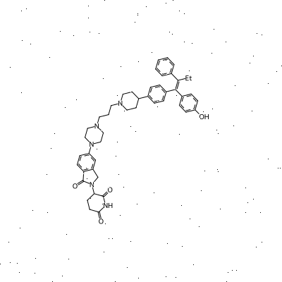 CC/C(=C(\c1ccc(O)cc1)c1ccc(C2CCN(CCCN3CCN(c4ccc5c(c4)CN(C4CCC(=O)NC4=O)C5=O)CC3)CC2)cc1)c1ccccc1